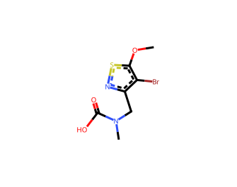 COc1snc(CN(C)C(=O)O)c1Br